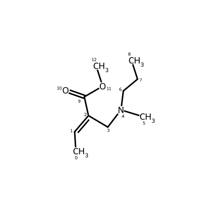 C/C=C(\CN(C)CCC)C(=O)OC